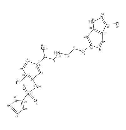 O=S(=O)(Nc1cc(C(O)CNCCOc2ccc3c(Cl)n[nH]c3c2)ccc1Cl)c1cccs1